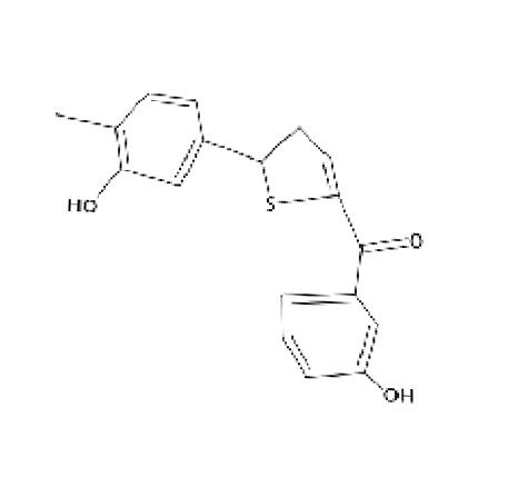 Cc1ccc(C2CC=C(C(=O)c3cccc(O)c3)S2)cc1O